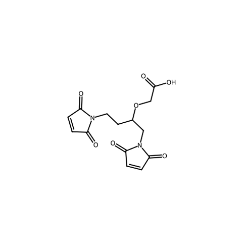 O=C(O)COC(CCN1C(=O)C=CC1=O)CN1C(=O)C=CC1=O